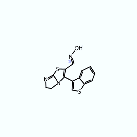 O/N=C/C1=C(c2csc3ccccc23)N2CCN=C2S1